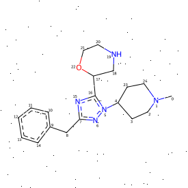 CN1CCC(n2nc(Cc3ccccc3)nc2C2CNCCO2)CC1